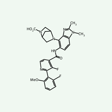 COc1cccc(F)c1-c1nccc(C(=O)Nc2ccc3c(nc(C)n3C)c2N2CC3CC2CN3C(=O)O)c1F